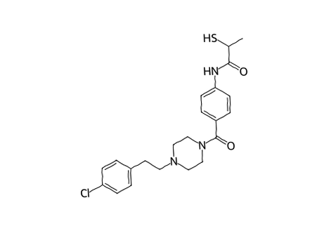 CC(S)C(=O)Nc1ccc(C(=O)N2CCN(CCc3ccc(Cl)cc3)CC2)cc1